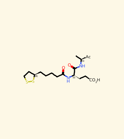 CC(=O)[C@H](C)NC(=O)[C@H](CCC(=O)O)NC(=O)CCCC[C@@H]1CCSS1